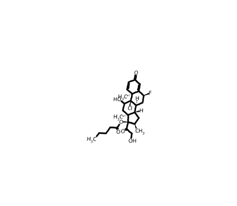 CCCCC(=O)O[C@]1(C(=O)CO)[C@H](C)C[C@H]2[C@@H]3C[C@H](F)C4=CC(=O)C=C[C@]4(C)[C@@]3(Cl)C(O)C[C@@]21C